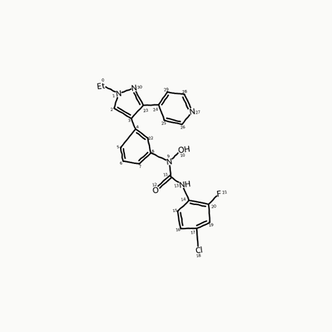 CCn1cc(-c2cccc(N(O)C(=O)Nc3ccc(Cl)cc3F)c2)c(-c2ccncc2)n1